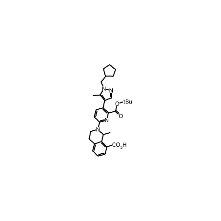 Cc1c(-c2ccc(N3CCc4cccc(C(=O)O)c4C3C)nc2C(=O)OC(C)(C)C)cnn1CC1CCCC1